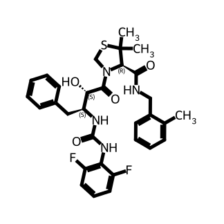 Cc1ccccc1CNC(=O)[C@H]1N(C(=O)[C@@H](O)[C@H](Cc2ccccc2)NC(=O)Nc2c(F)cccc2F)CSC1(C)C